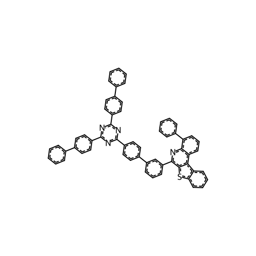 c1ccc(-c2ccc(-c3nc(-c4ccc(-c5ccccc5)cc4)nc(-c4ccc(-c5cccc(-c6nc7c(-c8ccccc8)cccc7c7c6sc6ccccc67)c5)cc4)n3)cc2)cc1